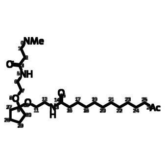 CNCCC(=O)NCCOC1(OCCNC(=O)CCCCCCCCCCC(C)=O)CCCC1